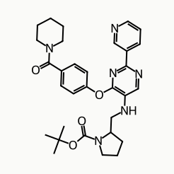 CC(C)(C)OC(=O)N1CCCC1CNc1cnc(-c2cccnc2)nc1Oc1ccc(C(=O)N2CCCCC2)cc1